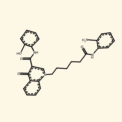 Nc1ccccc1NC(=O)CCCCCn1cc(C(=O)Nc2ccccc2O)c(=O)c2ccccc21